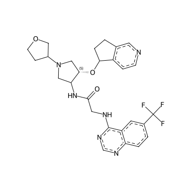 O=C(CNc1ncnc2ccc(C(F)(F)F)cc12)NC1CN(C2CCOC2)C[C@@H]1OC1CCc2cnccc21